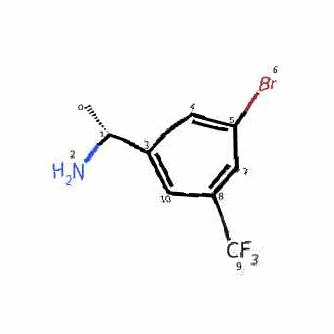 C[C@@H](N)c1cc(Br)cc(C(F)(F)F)c1